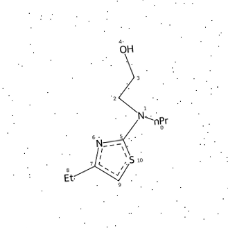 CCCN(CCO)c1nc(CC)cs1